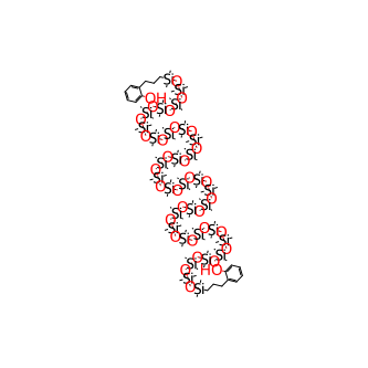 C[Si](C)(CCCc1ccccc1O)O[Si](C)(C)O[Si](C)(C)O[Si](C)(C)O[Si](C)(C)O[Si](C)(C)O[Si](C)(C)O[Si](C)(C)O[Si](C)(C)O[Si](C)(C)O[Si](C)(C)O[Si](C)(C)O[Si](C)(C)O[Si](C)(C)O[Si](C)(C)O[Si](C)(C)O[Si](C)(C)O[Si](C)(C)O[Si](C)(C)O[Si](C)(C)O[Si](C)(C)O[Si](C)(C)O[Si](C)(C)O[Si](C)(C)O[Si](C)(C)O[Si](C)(C)O[Si](C)(C)O[Si](C)(C)O[Si](C)(C)O[Si](C)(C)O[Si](C)(C)CCCc1ccccc1O